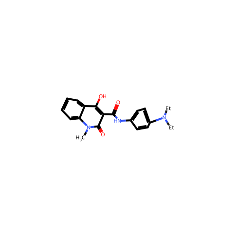 CCN(CC)c1ccc(NC(=O)c2c(O)c3ccccc3n(C)c2=O)cc1